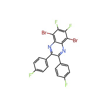 Fc1ccc(-c2nc3c(Br)c(F)c(F)c(Br)c3nc2-c2ccc(F)cc2)cc1